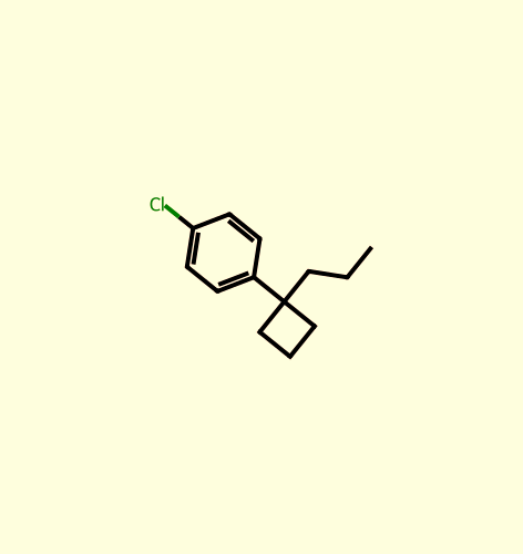 CCCC1(c2ccc(Cl)cc2)CCC1